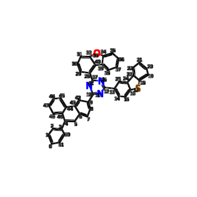 c1ccc(-c2cc3ccc(-c4nc(-c5ccc6sc7ccccc7c6c5)nc(-c5cccc6oc7ccccc7c56)n4)cc3c3ccccc23)cc1